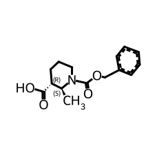 C[C@H]1[C@H](C(=O)O)CCCN1C(=O)OCc1ccccc1